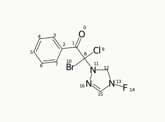 O=C(c1ccccc1)C(Cl)(Br)N1CN(F)C=N1